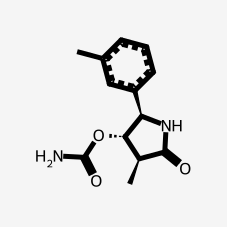 Cc1cccc([C@H]2NC(=O)[C@@H](C)[C@@H]2OC(N)=O)c1